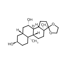 C[C@]12CC[C@@H](O)C[C@@H]1C[C@H](O)[C@@H]1[C@@H]2CC[C@@]2(C)[C@H]1CCC21OCCO1